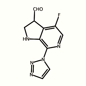 O=CC1CNc2c(-n3ccnn3)ncc(F)c21